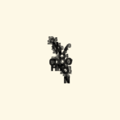 CC#Cc1cc2c(cc1N1CCN(C3CCC3)CC1)C1(CCOCC1)c1[nH]c3cc(C#N)ccc3c1C2=O